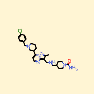 Cc1nn2c(C3CCCN(Cc4ccc(Cl)cc4)C3)ccnc2c1CNCC1CCN(C(N)=O)CC1